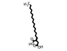 CCCCCCCCCCCCCCCC=C(CC(=O)O)C(=O)O